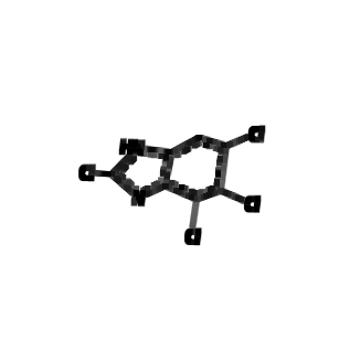 Clc1nc2c(Cl)c(Cl)c(Cl)cc2[nH]1